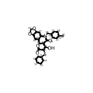 O=c1oc2c(c(O)c1Sc1ccccc1)c(=O)n(Cc1ccc(F)cc1)c1cc3c(cc21)OCO3